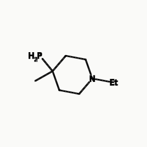 CCN1CCC(C)(P)CC1